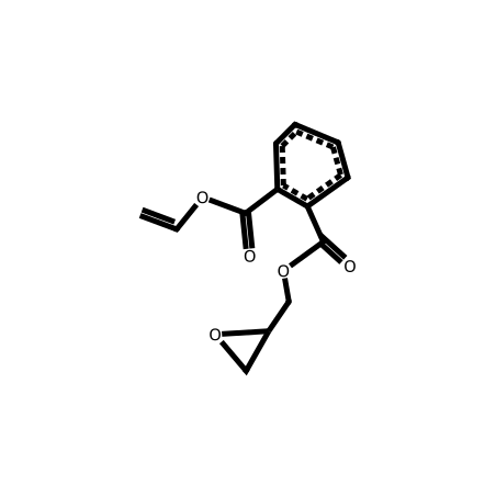 C=COC(=O)c1ccccc1C(=O)OCC1CO1